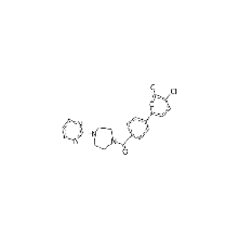 O=C(c1ccc(-c2ccc(Cl)c(Cl)c2)cc1)N1CCN(c2ncccn2)CC1